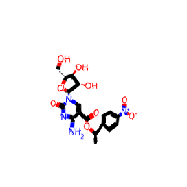 CC(OC(=O)c1cn([C@@H]2O[C@H](CO)[C@@H](O)[C@@H]2O)c(=O)nc1N)c1ccc([N+](=O)[O-])cc1